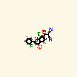 COc1cc(-c2ccccc2F)nc2c(F)c(C(=O)C(C#N)C#N)ccc12